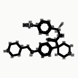 C[C@H](NC(=O)C1(c2ccc(OCC3CCOCC3)cc2)CCOCC1)c1ccc(C(=O)O)cc1